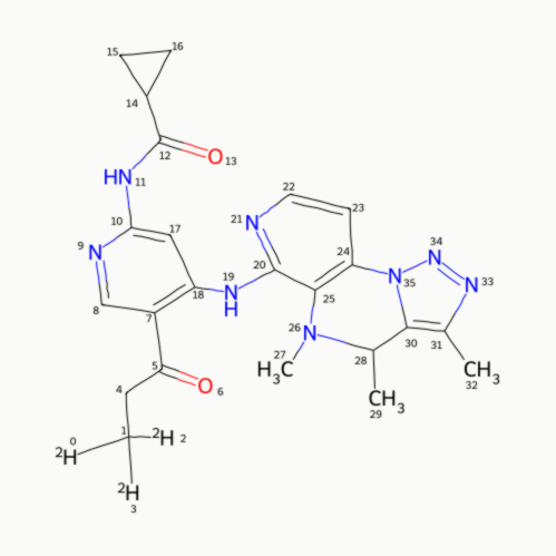 [2H]C([2H])([2H])CC(=O)c1cnc(NC(=O)C2CC2)cc1Nc1nccc2c1N(C)C(C)c1c(C)nnn1-2